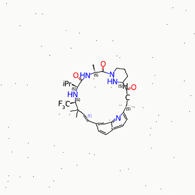 CC(C)[C@@H]1N[C@H](C(F)(F)F)C(C)(C)/C=C/c2ccc3ccc(nc3c2)[C@@H](C)CC(=O)[C@@H]2CCCN(N2)C(=O)[C@H](C)NC1=O